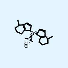 CC1CCCC2=C1C=C[CH]2[Zr+2]([CH]1C=CC2=C1CCCC2C)=[Si](C)C.[Cl-].[Cl-]